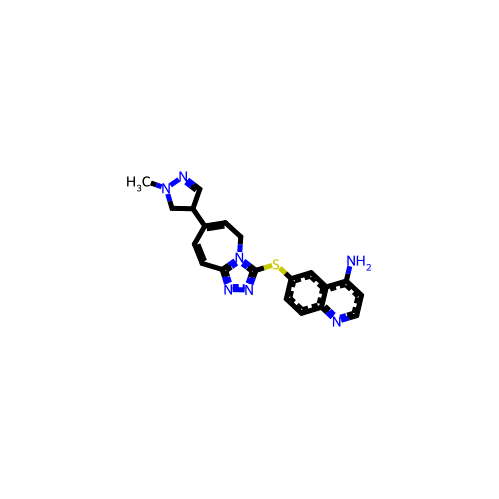 CN1CC(C2=CCn3c(nnc3Sc3ccc4nccc(N)c4c3)C=C2)C=N1